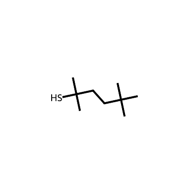 CC(C)(C)CCC(C)(C)S